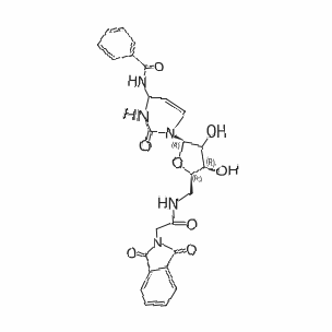 O=C(CN1C(=O)c2ccccc2C1=O)NC[C@H]1O[C@@H](N2C=CC(NC(=O)c3ccccc3)NC2=O)C(O)[C@H]1O